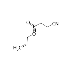 C=CCO[PH](=O)CCC#N